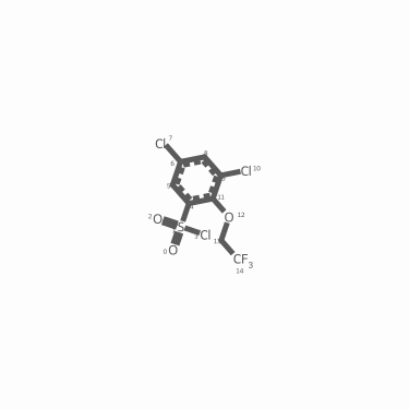 O=S(=O)(Cl)c1cc(Cl)cc(Cl)c1OCC(F)(F)F